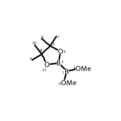 COB(OC)B1OC(C)(C)C(C)(C)O1